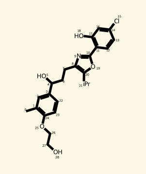 Cc1cc(C(O)CCc2nc(-c3ccc(Cl)cc3O)oc2C(C)C)ccc1OCCO